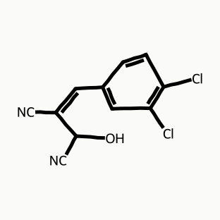 N#C/C(=C/c1ccc(Cl)c(Cl)c1)C(O)C#N